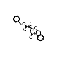 C[C@H](C[C@@H](C)C(=O)N1c2ccccc2C[C@H]1C(=O)O)C(=O)OCc1ccccc1